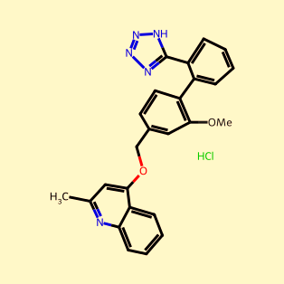 COc1cc(COc2cc(C)nc3ccccc23)ccc1-c1ccccc1-c1nnn[nH]1.Cl